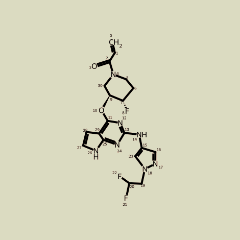 C=CC(=O)N1CC[C@H](F)[C@@H](Oc2nc(Nc3cnn(CC(F)F)c3)nc3[nH]ccc23)C1